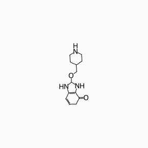 O=C1CC=CC2=C1NC(OCC1CCNCC1)N2